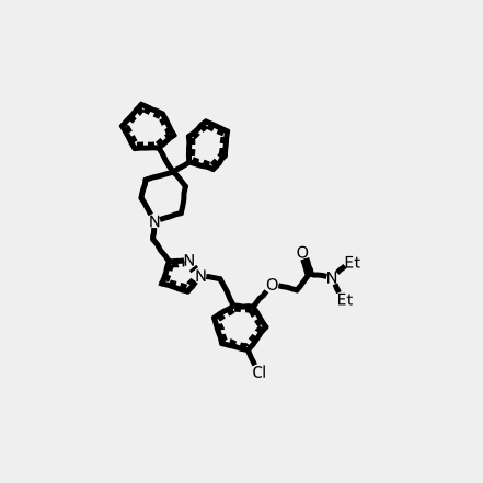 CCN(CC)C(=O)COc1cc(Cl)ccc1Cn1ccc(CN2CCC(c3ccccc3)(c3ccccc3)CC2)n1